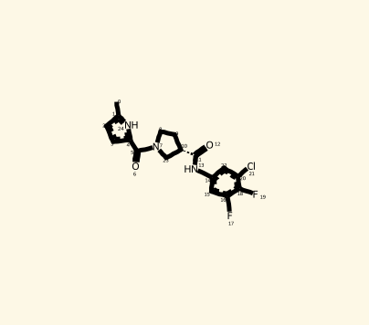 Cc1ccc(C(=O)N2CC[C@H](C(=O)Nc3cc(F)c(F)c(Cl)c3)C2)[nH]1